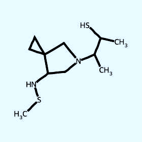 CSNC1CN(C(C)C(C)S)CC12CC2